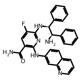 NC(=O)c1cc(F)c(N[C@@H](c2ccccc2)[C@H](N)c2ccccc2)nc1Nc1ccc2cccnc2c1